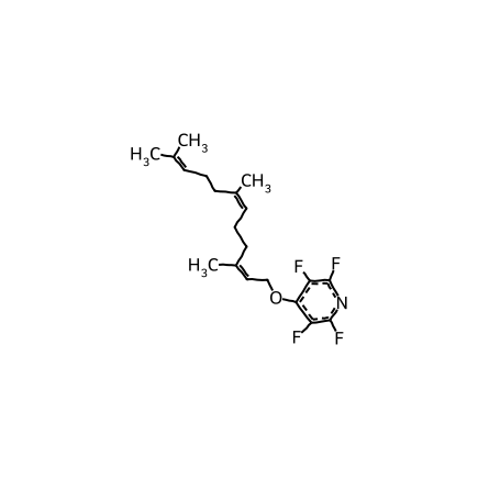 CC(C)=CCCC(C)=CCCC(C)=CCOc1c(F)c(F)nc(F)c1F